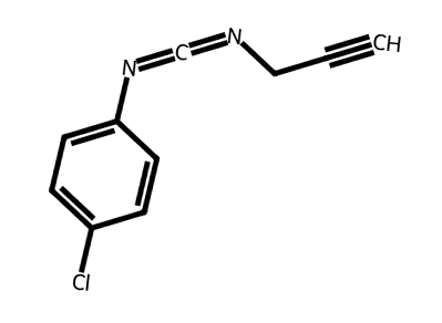 C#CCN=C=Nc1ccc(Cl)cc1